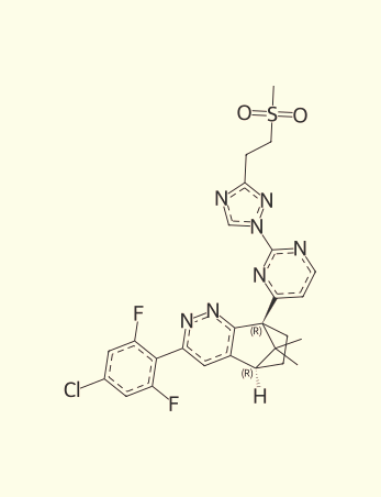 CC1(C)[C@H]2CC[C@@]1(c1ccnc(-n3cnc(CCS(C)(=O)=O)n3)n1)c1nnc(-c3c(F)cc(Cl)cc3F)cc12